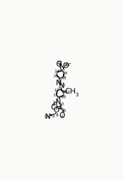 CCN(CC(C=O)OCC#N)c1ccc(N=Nc2ccc([N+](=O)[O-])cc2)c(C)c1